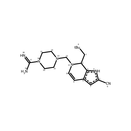 CC(C)(C)CC1c2[nH]c(C#N)cc2C=CN1CN1CCN(C(=N)N)CC1